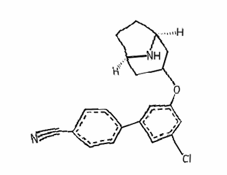 N#Cc1ccc(-c2cc(Cl)cc(OC3C[C@H]4CC[C@@H](C3)N4)c2)cc1